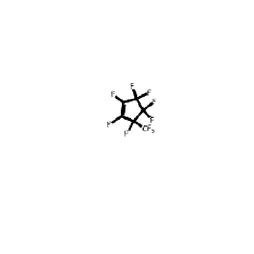 FC1=C(F)C(F)(C(F)(F)F)C(F)(F)C1(F)F